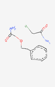 NC(=O)CCl.NC(=O)OCc1ccccc1